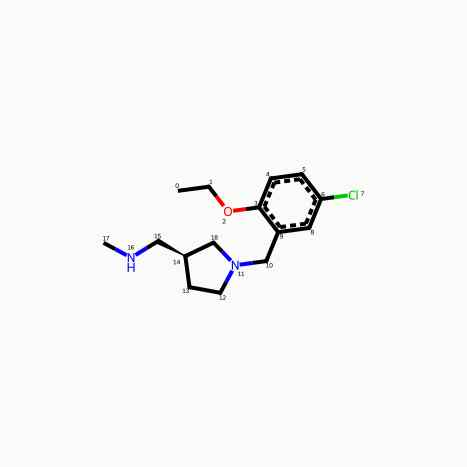 CCOc1ccc(Cl)cc1CN1CC[C@@H](CNC)C1